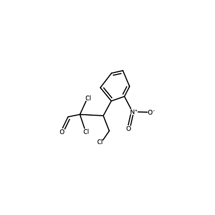 O=CC(Cl)(Cl)C(CCl)c1ccccc1[N+](=O)[O-]